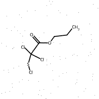 CCCOC(=O)C(Cl)(Cl)SCl